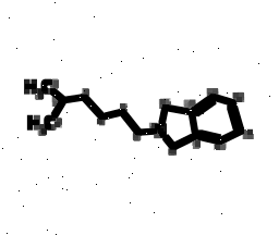 CC(C)CCCCN1Cc2ccccc2C1